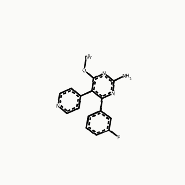 CCCOc1nc(N)nc(-c2cccc(F)c2)c1-c1ccncc1